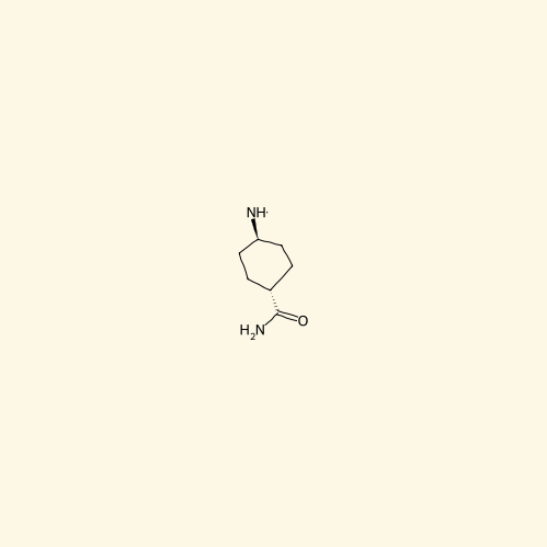 [NH][C@H]1CC[C@H](C(N)=O)CC1